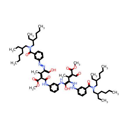 CCCCC(CC)CN(CC(CC)CCCC)C(=O)c1cccc(/N=N/C(=C\O)C(/C)=C(\C(=O)Nc2cccc(N/C(O)=C(NNc3cccc(C(=O)N(CC(CC)CCCC)CC(CC)CCCC)c3)\C(C)=C(/C=O)C(=O)OC)c2)C(=O)OC)c1